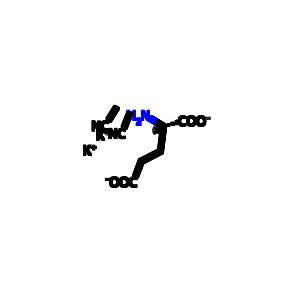 CC#N.CC#N.N[C@@H](CCC(=O)[O-])C(=O)[O-].[K+].[K+]